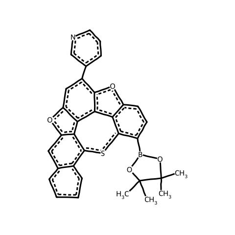 CC1(C)OB(c2ccc3oc4c(-c5cccnc5)cc5oc6cc7ccccc7c7sc2c3c4c5c67)OC1(C)C